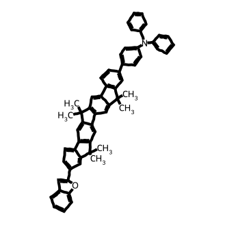 CC1(C)c2cc(-c3ccc(N(c4ccccc4)c4ccccc4)cc3)ccc2-c2cc3c(cc21)-c1cc2c(cc1C3(C)C)-c1ccc(-c3cc4ccccc4o3)cc1C2(C)C